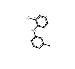 Cc1cccc(Nc2ccccc2N)c1